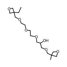 CCC1(COCCOCCOCC(O)COCC2(C)COC2)COC1